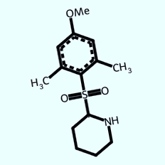 COc1cc(C)c(S(=O)(=O)[C]2CCCCN2)c(C)c1